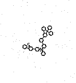 c1ccc(N(c2ccc(-c3ccc4c(c3)sc3ccccc34)cc2)c2cccc(-c3cccc(-c4ccc5c(c4)-c4ccccc4C5(c4ccccc4)c4ccccc4)c3)c2)cc1